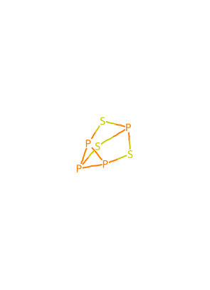 s1p2sp3p1p3s2